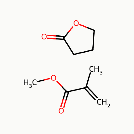 C=C(C)C(=O)OC.O=C1CCCO1